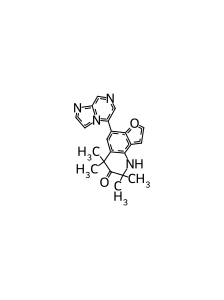 CC1(C)Nc2c(cc(-c3cncc4nccn34)c3occc23)C(C)(C)C1=O